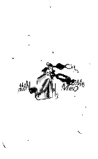 CNCCN(C)Cc1nn2c(c1C1CCC(COC)(COC)CC1)CN(C(=O)C13CC(C)(C1)C3)CC2